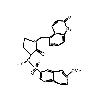 COc1ccc2ccc(S(=O)(=O)N(C)[C@H]3CCN(Cc4cccc5[nH]c(=O)ccc45)C3=O)cc2c1